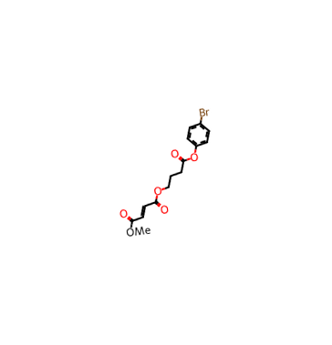 COC(=O)C=CC(=O)OCCCC(=O)Oc1ccc(Br)cc1